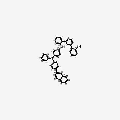 Sc1ccccc1-c1cccc(-c2ccccc2Nc2ccc(N(c3ccccc3)c3ccc(-c4ccc5ccccc5c4)cc3)cc2)c1